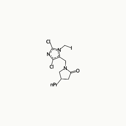 CCCC1CC(=O)N(Cc2c(Cl)nc(Cl)n2CI)C1